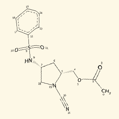 CC(=O)OC[C@H]1C[C@@H](NS(=O)(=O)c2ccccc2)CN1C#N